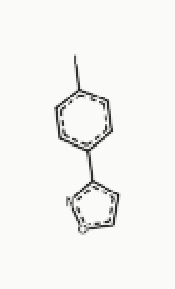 Ic1ccc(-c2ccon2)cc1